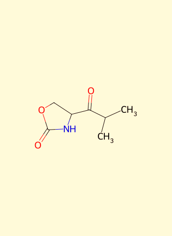 CC(C)C(=O)C1COC(=O)N1